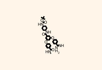 CNC(=O)c1ccc(Oc2cc(Oc3ccc(C(=N)N)cc3)cc(C(=O)NC3CCC(NC(=O)OC(C)(C)C)CC3)c2)cc1